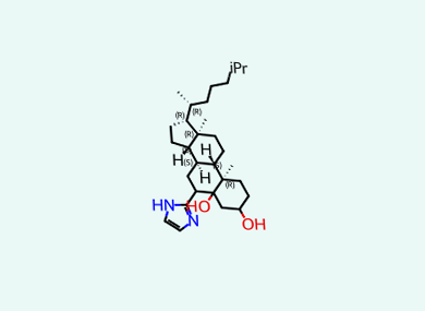 CC(C)CCC[C@@H](C)[C@H]1CC[C@H]2[C@@H]3CC(c4ncc[nH]4)C4(O)CC(O)CC[C@]4(C)[C@H]3CC[C@]12C